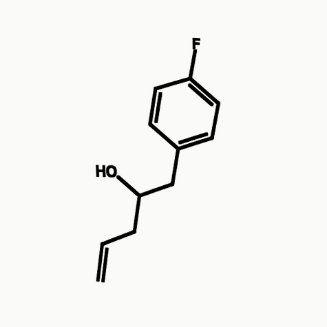 C=CCC(O)Cc1ccc(F)cc1